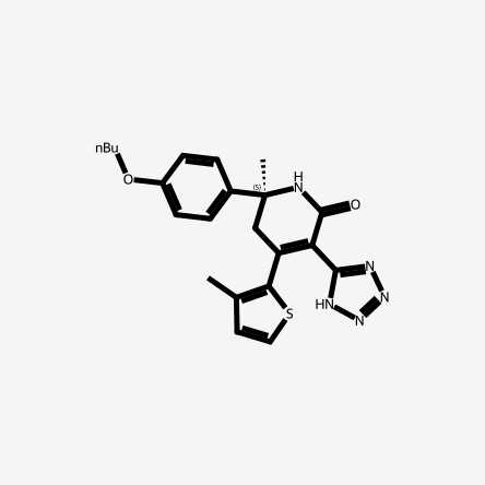 CCCCOc1ccc([C@]2(C)CC(c3sccc3C)=C(c3nnn[nH]3)C(=O)N2)cc1